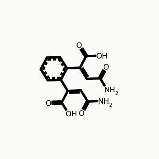 NC(=O)C=C(C(=O)O)c1ccccc1C(=CC(N)=O)C(=O)O